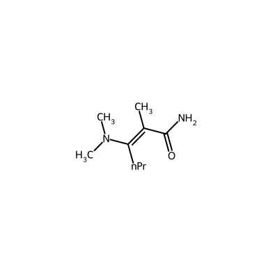 CCCC(=C(C)C(N)=O)N(C)C